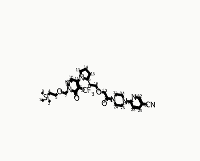 C[Si](C)(C)CCOCn1ncc(N2CCC[C@H]2CCOCC(=O)N2CCN(c3ccc(C#N)cn3)CC2)c(C(F)(F)F)c1=O